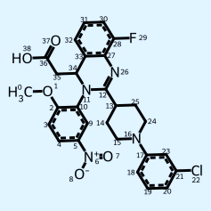 COc1ccc([N+](=O)[O-])cc1N1C(C2CCN(c3cccc(Cl)c3)CC2)=Nc2c(F)cccc2C1CC(=O)O